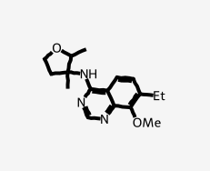 CCc1ccc2c(NC3(C)CCOC3C)ncnc2c1OC